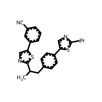 CC(C)c1ncc(-c2ccc(CC(C)c3ncc(-c4cccc(C#N)c4)s3)cc2)s1